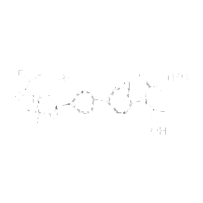 CC(CO)N(C(=O)OC(C)(C)C)c1ccc(-c2ccc([C@H]3OC(C)(C)N(C(=O)C(F)F)[C@@H]3CF)cc2)cn1